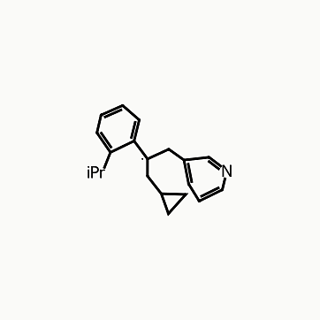 CC(C)c1ccccc1[C](Cc1cccnc1)CC1CC1